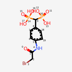 O=C(CBr)Nc1ccc(C(P(=O)(O)O)P(=O)(O)O)cc1